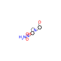 COCc1cccc(CN2CCCc3cc(CN(O)C(N)=O)ccc32)c1